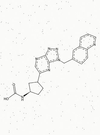 O=C(O)N[C@@H]1CCC(c2cnc3nnn(Cc4ccc5ncccc5c4)c3n2)C1